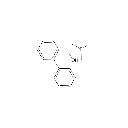 CO.CP(C)C.c1ccc(-c2ccccc2)cc1